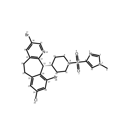 Cn1cnc(S(=O)(=O)N2CCC([C@H]3c4ncc(Br)cc4CCc4cc(Cl)cc(Br)c43)CC2)c1